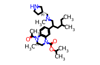 CCC(C)CC(CN(C)C[C@@H]1CCNC1)c1ccc2c(c1)N(C(=O)OC(C)C)C[C@H](C)N2C(C)=O